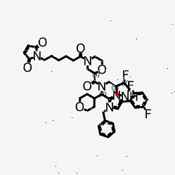 O=C(CCCCCN1C(=O)C=CC1=O)N1CCO[C@@H](C(=O)N(C[C@@H]2CNC[C@@H]2F)[C@@H](c2nc(-c3cc(F)ccc3F)cn2Cc2ccccc2)C2CCOCC2)C1